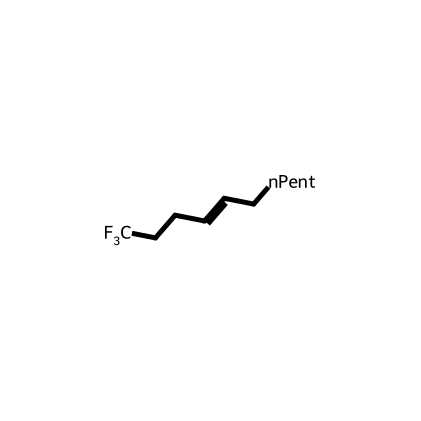 [CH2]CCCCCC=CCCC(F)(F)F